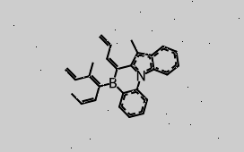 C=C/C=C1/B(C(/C=C\C)=C(\C)C=C)c2ccccc2-n2c1c(C)c1ccccc12